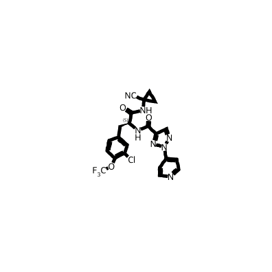 N#CC1(NC(=O)[C@H](Cc2ccc(OC(F)(F)F)c(Cl)c2)NC(=O)c2cnn(-c3ccncc3)n2)CC1